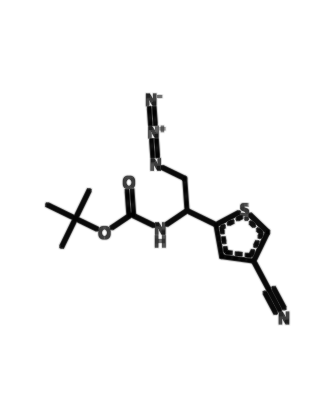 CC(C)(C)OC(=O)NC(CN=[N+]=[N-])c1cc(C#N)cs1